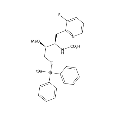 CO[C@H](CO[Si](c1ccccc1)(c1ccccc1)C(C)(C)C)[C@@H](Cc1ncccc1F)NC(=O)O